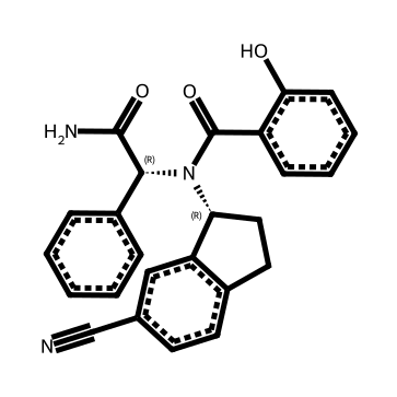 N#Cc1ccc2c(c1)[C@H](N(C(=O)c1ccccc1O)[C@@H](C(N)=O)c1ccccc1)CC2